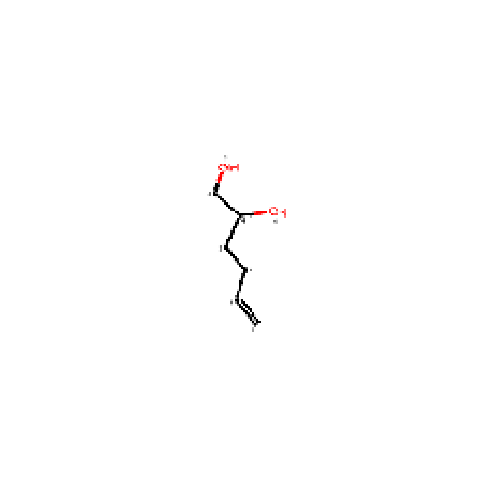 C=C[CH]CC(O)CO